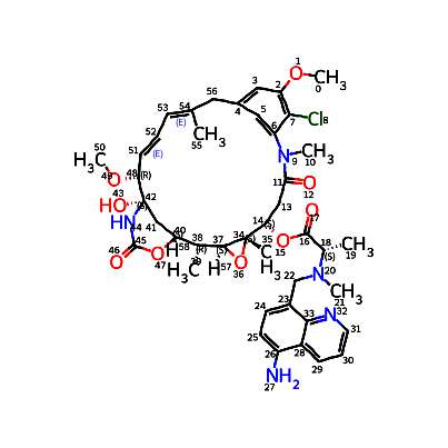 COc1cc2cc(c1Cl)N(C)C(=O)C[C@H](OC(=O)[C@H](C)N(C)Cc1ccc(N)c3cccnc13)[C@]1(C)O[C@H]1[C@H](C)[C@@H]1C[C@@](O)(NC(=O)O1)[C@H](OC)/C=C/C=C(\C)C2